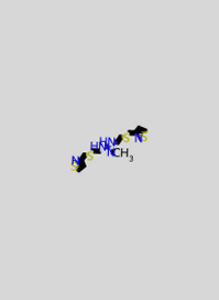 CN=C(NCCSCc1ccsn1)NCCSCc1ccsn1